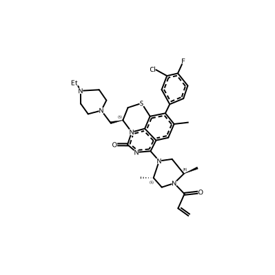 C=CC(=O)N1C[C@H](C)N(c2nc(=O)n3c4c(c(-c5ccc(F)c(Cl)c5)c(C)cc24)SC[C@@H]3CN2CCN(CC)CC2)C[C@H]1C